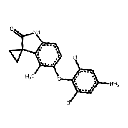 Cc1c(Oc2c(Cl)cc(N)cc2Cl)ccc2c1C1(CC1)C(=O)N2